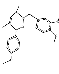 COc1ccc(C2ON(Cc3ccc(OC)c(OC)c3)C(C)C=C2C)cc1